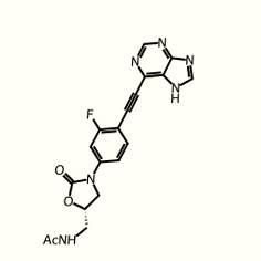 CC(=O)NC[C@H]1CN(c2ccc(C#Cc3ncnc4nc[nH]c34)c(F)c2)C(=O)O1